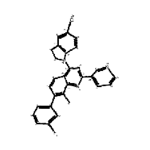 Cc1c(-c2cccc(F)c2)ccc2c(N3CCc4cc(Cl)ccc43)nc(-c3cccnc3)nc12